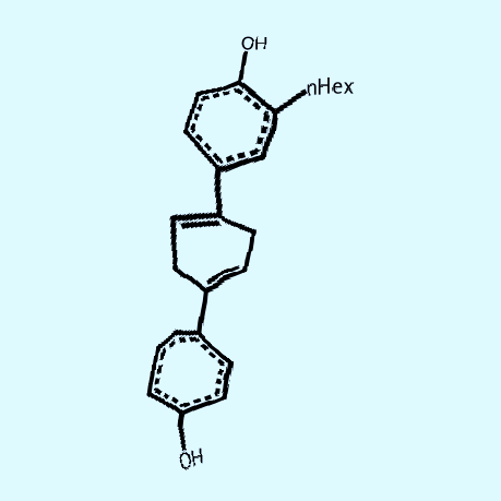 CCCCCCc1cc(C2=CCC(c3ccc(O)cc3)=CC2)ccc1O